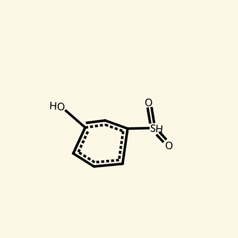 O=[SH](=O)c1cccc(O)c1